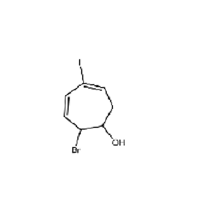 OC1CC=C(I)C=CC1Br